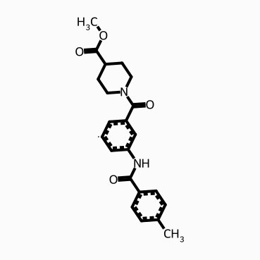 COC(=O)C1CCN(C(=O)c2c[c]cc(NC(=O)c3ccc(C)cc3)c2)CC1